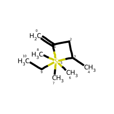 C=C1CC(C)S1(C)(C)(C)CC